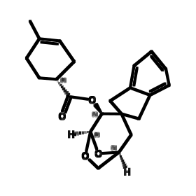 CC1=CC[C@H](C(=O)O[C@@H]2[C@@H]3OC[C@H](CC24Cc2ccccc2C4)O3)CC1